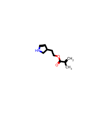 C=C(C)C(=O)OCCC1C=CNC1